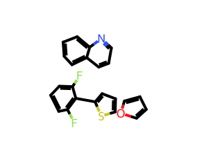 Fc1cccc(F)c1-c1cccs1.c1ccc2ncccc2c1.c1ccoc1